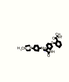 CNC(=O)c1ccccc1Sc1ccc2c(c1)NC(=O)/C2=C/Nc1ccc(N2CCN(C)CC2)cc1